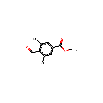 COC(=O)c1cc(C)c(C=O)c(C)c1